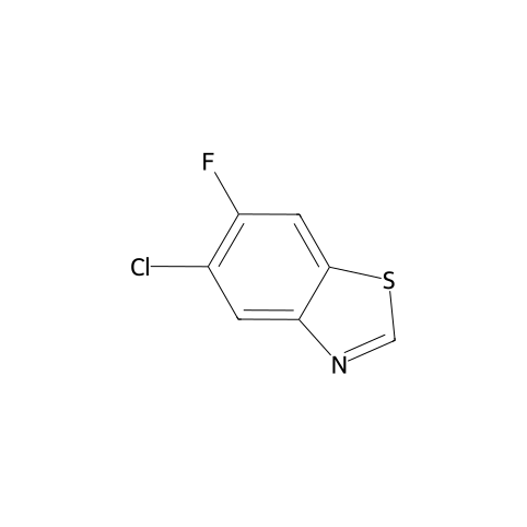 Fc1cc2scnc2cc1Cl